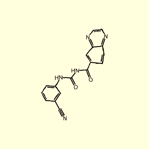 N#Cc1cccc(NC(=O)NC(=O)c2ccc3nccnc3c2)c1